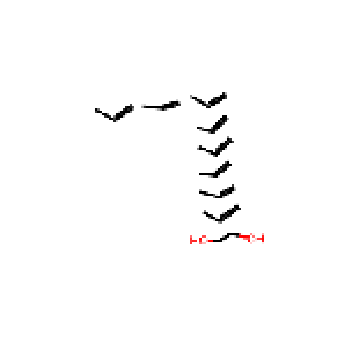 C=CC.C=CC.C=CC.C=CC.C=CC.C=CC.C=CC.C=CC.OCCO